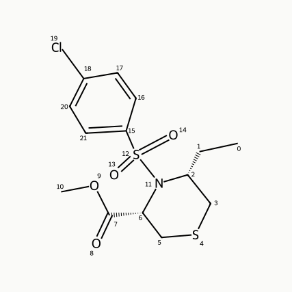 CC[C@@H]1CSC[C@H](C(=O)OC)N1S(=O)(=O)c1ccc(Cl)cc1